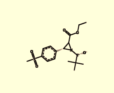 CCOC(=O)C1[C@@H](c2ccc(S(C)(=O)=O)cc2)N1[S@+]([O-])C(C)(C)C